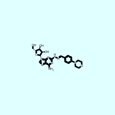 Nc1nc(NN=Cc2ccc(N3CCOCC3)cc2)nc2c1ncn2[C@@H]1O[C@H](CO)[C@@H](O)[C@H]1O